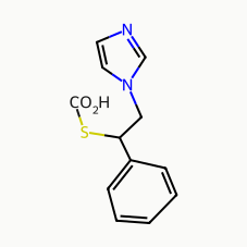 O=C(O)SC(Cn1ccnc1)c1ccccc1